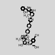 C#Cc1ccc([C@H](CCO)NC(=O)[C@@H]2C[C@@H](O)CN2C(=O)[C@@H](NC(=O)N2CCC(N3CCC(c4cnc(N5CCc6[nH]c7nnc(-c8ccccc8O)cc7c6[C@H]5C)nc4)CC3)CC2)C(C)(C)C)cc1